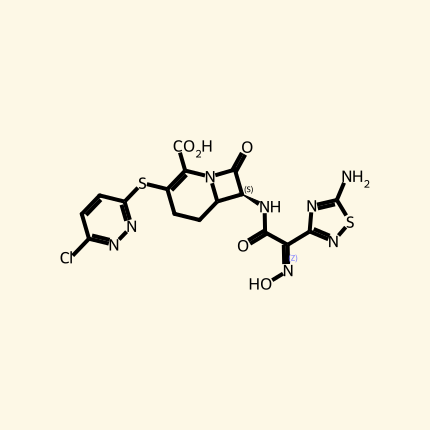 Nc1nc(/C(=N/O)C(=O)N[C@@H]2C(=O)N3C(C(=O)O)=C(Sc4ccc(Cl)nn4)CCC23)ns1